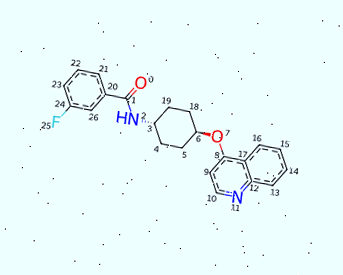 O=C(N[C@H]1CC[C@H](Oc2ccnc3ccccc23)CC1)c1cccc(F)c1